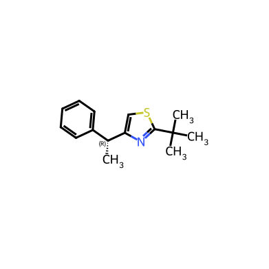 C[C@H](c1ccccc1)c1csc(C(C)(C)C)n1